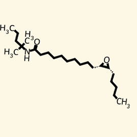 CCCCC[C@H]1O[C@H]1CCCCCCCCCC(=O)NC(C)(C)CCC